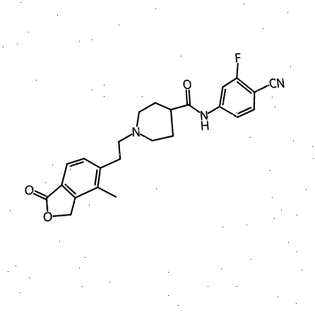 Cc1c(CCN2CCC(C(=O)Nc3ccc(C#N)c(F)c3)CC2)ccc2c1COC2=O